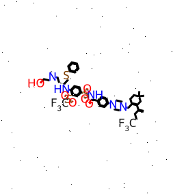 C=C(CCC(F)(F)F)C1=C(CN2CCN(c3ccc(C(=O)NS(=O)(=O)c4ccc(N[C@H](CCN(C)CCO)CSc5ccccc5)c(S(=O)(=O)C(F)(F)F)c4)cc3)CC2)CCC(C)(C)C1